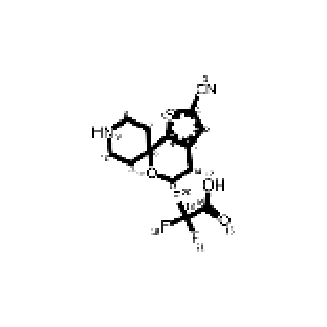 N#Cc1cc2c(s1)C1(CCNCC1)OCC2.O=C(O)C(F)(F)F